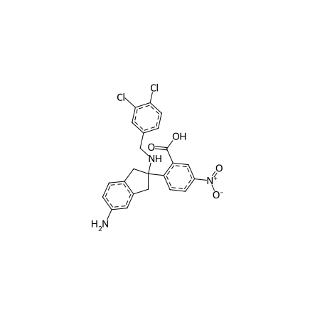 Nc1ccc2c(c1)CC(NCc1ccc(Cl)c(Cl)c1)(c1ccc([N+](=O)[O-])cc1C(=O)O)C2